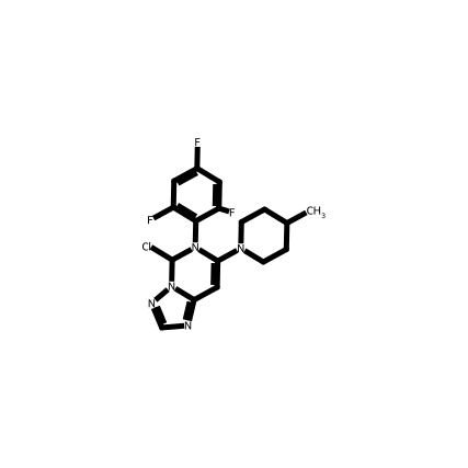 CC1CCN(C2=Cc3ncnn3C(Cl)N2c2c(F)cc(F)cc2F)CC1